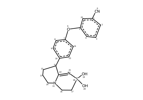 N#Cc1cccc(Oc2ccc(C3CCCN4CCS(O)(O)N=C34)cc2)c1